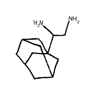 NCC(N)C12CC3CC(CC(C3)C1)C2